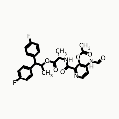 CC(=O)Oc1c(NC=O)ccnc1C(=O)N[C@@H](C)C(=O)OC(C)C(c1ccc(F)cc1)c1ccc(F)cc1